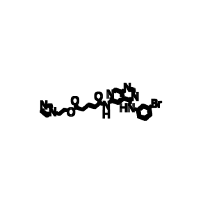 O=C(/C=C/CC(=O)OCCn1ccnc1)Nc1cc2c(Nc3cccc(Br)c3)ncnc2cn1